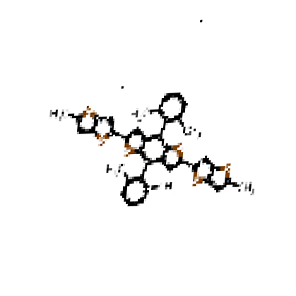 Cc1cc2sc(-c3cc4c(-c5c(C)cccc5C)c5sc(-c6cc7sc(C)cc7s6)cc5c(-c5c(C)cccc5C)c4s3)cc2s1